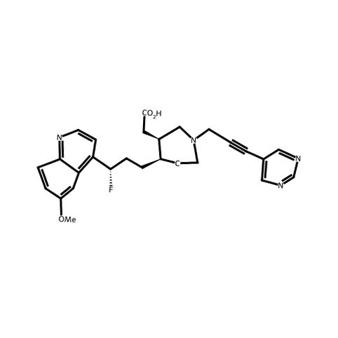 COc1ccc2nccc([C@@H](F)CC[C@@H]3CCN(CC#Cc4cncnc4)C[C@@H]3CC(=O)O)c2c1